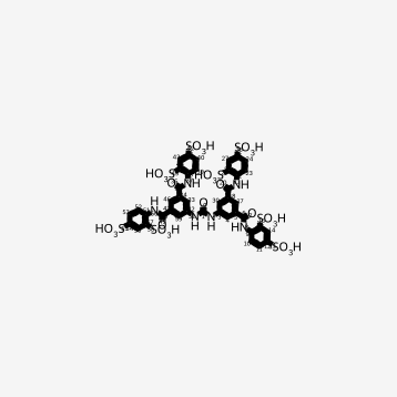 O=C(Nc1cc(C(=O)Nc2ccc(S(=O)(=O)O)cc2S(=O)(=O)O)cc(C(=O)Nc2ccc(S(=O)(=O)O)cc2S(=O)(=O)O)c1)Nc1cc(C(=O)Nc2ccc(S(=O)(=O)O)cc2S(=O)(=O)O)cc(C(=O)Nc2ccc(S(=O)(=O)O)cc2S(=O)(=O)O)c1